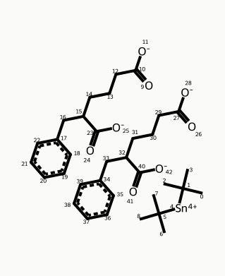 C[C](C)(C)[Sn+4][C](C)(C)C.O=C([O-])CCCC(Cc1ccccc1)C(=O)[O-].O=C([O-])CCCC(Cc1ccccc1)C(=O)[O-]